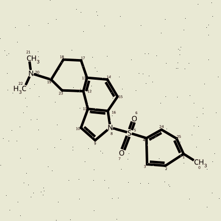 Cc1ccc(S(=O)(=O)n2ccc3c4c(ccc32)CCC(N(C)C)C4)cc1